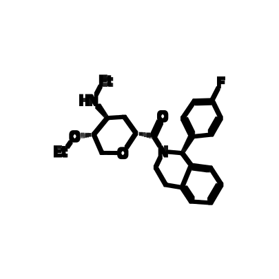 CCN[C@H]1C[C@H](C(=O)N2CCc3ccccc3[C@@H]2c2ccc(F)cc2)OC[C@@H]1OCC